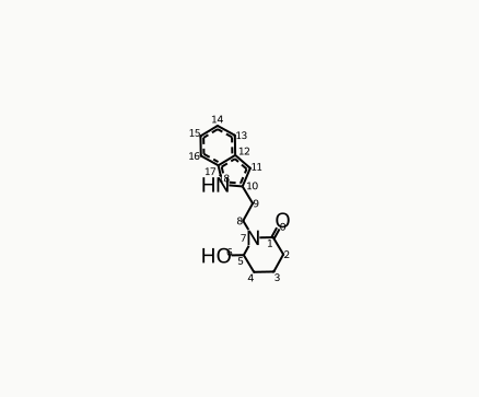 O=C1CCCC(O)N1CCc1cc2ccccc2[nH]1